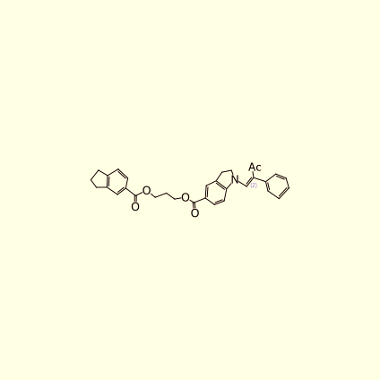 CC(=O)/C(=C\N1CCc2cc(C(=O)OCCCOC(=O)c3ccc4c(c3)CCC4)ccc21)c1ccccc1